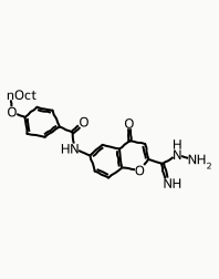 CCCCCCCCOc1ccc(C(=O)Nc2ccc3oc(C(=N)NN)cc(=O)c3c2)cc1